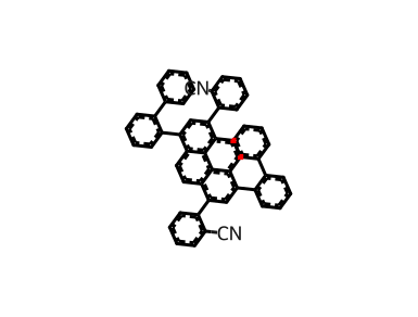 [C-]#[N+]c1ccccc1-c1cc(-c2ccccc2-c2ccccc2)c2ccc3c(-c4ccccc4C#N)cc(-c4ccccc4-c4ccccc4)c4ccc1c2c34